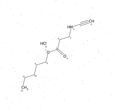 C#CNCCC(=O)OCCCCC.Cl